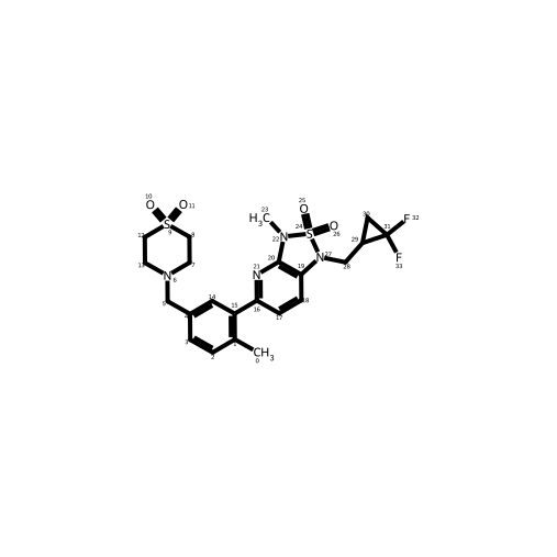 Cc1ccc(CN2CCS(=O)(=O)CC2)cc1-c1ccc2c(n1)N(C)S(=O)(=O)N2CC1CC1(F)F